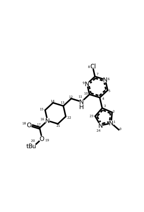 Cn1cc(-c2cnc(Cl)nc2NCC2CCN(C(=O)OC(C)(C)C)CC2)cn1